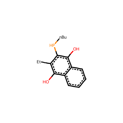 CCCCPc1c(CC)c(O)c2ccccc2c1O